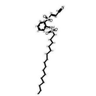 CCCCCCCCCCCCCCCCS(=O)(=O)Nc1ccccc1S(=O)(=O)C=CC#N